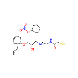 C=CCc1ccccc1OCC(O)CNCCNC(=O)CS.O=[N+]([O-])OC1CCCCC1